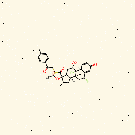 CCC(=O)O[C@]1(C(=O)SCC(=O)c2ccc(C)cc2)[C@H](C)C[C@H]2[C@@H]3C[C@H](F)C4=CC(=O)C=C[C@]4(C)[C@@]3(F)[C@@H](O)C[C@@]21C